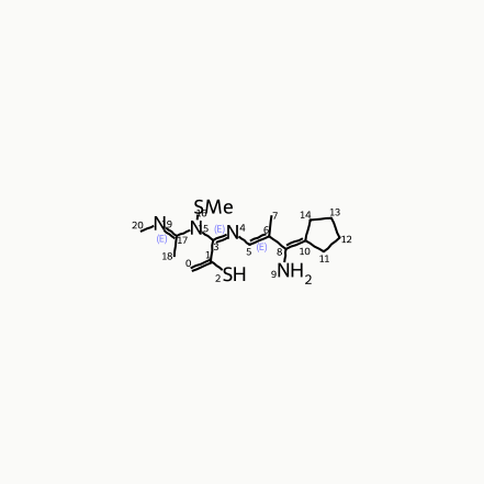 C=C(S)/C(=N\C=C(/C)C(N)=C1CCCC1)N(SC)/C(C)=N/C